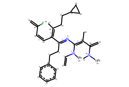 C=CN(C(/N=C(CCc1ccccc1)/C(/C=C\C(=C)F)=C(/C)CCC1CC1)=C(/C)C(=C)N(C)CCC)C(C)C